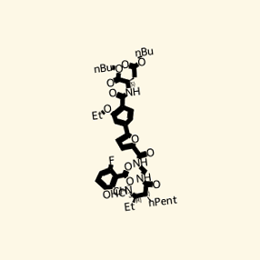 CCCCC[C@@H](C(=O)NCNC(=O)c1ccc(-c2ccc(C(=O)N[C@@H](CC(=O)OCCCC)C(=O)OCCCC)c(OCC)c2)o1)[C@@H](CC)N(C=O)OC(=O)c1c(C)cccc1F